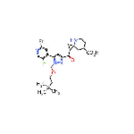 CCc1cc(-c2cc(C(=O)C3CC34CC(C(=O)O)CCN4)nn2COCC[Si](C)(C)C)c(F)cn1